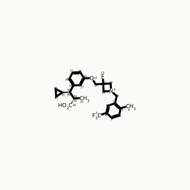 Cc1ccc(C(F)(F)F)cc1CN1CC(F)(COc2cccc([C@H](C3CC3)[C@H](C)C(=O)O)c2)C1